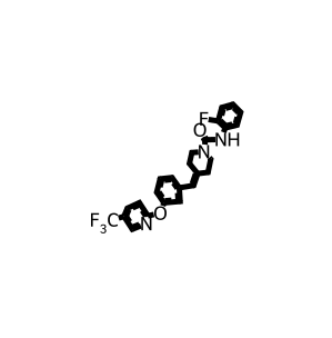 O=C(Nc1ccccc1F)N1CCC(=Cc2cccc(Oc3ccc(C(F)(F)F)cn3)c2)CC1